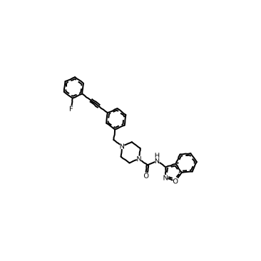 O=C(Nc1noc2ccccc12)N1CCN(Cc2cccc(C#Cc3ccccc3F)c2)CC1